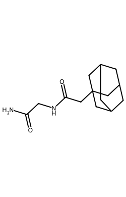 NC(=O)CNC(=O)CC12CC3CC(CC(C3)C1)C2